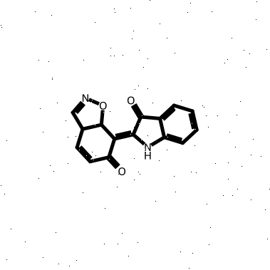 O=C1C=CC2C=NOC2C1=C1Nc2ccccc2C1=O